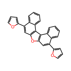 c1coc(-c2cc3oc4cc(-c5ccco5)c5ccccc5c4c3c3ccccc23)c1